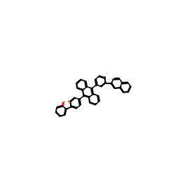 c1ccc2cc3c(cc2c1)sc1ccc(-c2c4ccccc4c(-c4ccc5c(c4)oc4ccccc45)c4ccccc24)cc13